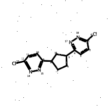 Clc1ccc(C2CCC(c3ccc(Cl)nn3)C2)nn1